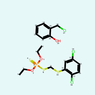 CCOP(=S)(OCC)SCSc1cc(Cl)ccc1Cl.Oc1ccccc1CCl